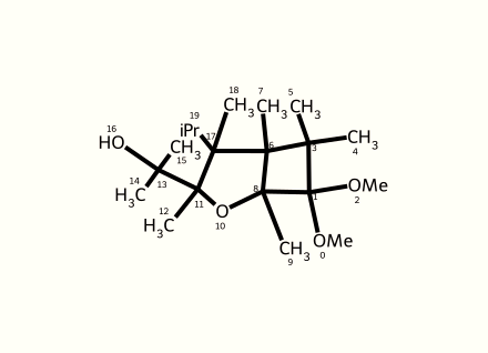 COC1(OC)C(C)(C)C2(C)C1(C)OC(C)(C(C)(C)O)C2(C)C(C)C